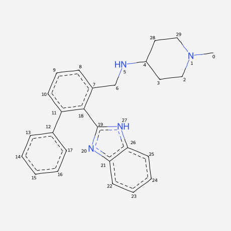 CN1CCC(NCc2cccc(-c3ccccc3)c2-c2nc3ccccc3[nH]2)CC1